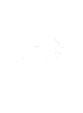 Fc1ccc[c]c1-c1ccc2nc[nH]c2c1